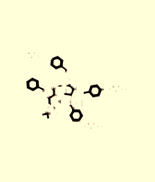 COc1ccc(COC[C@@H]2[C@@H](OCc3ccc(OC)cc3)[C@H](OCc3ccc(OC)cc3)CN2C[C@@H]2OC(c3ccccc3)O[C@H]([C@H]3COC(C)(C)O3)[C@@H]2OS(=O)(=O)O)cc1